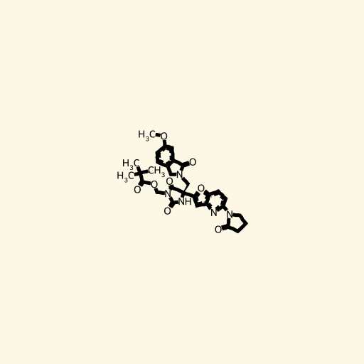 COc1ccc2c(c1)C(=O)N(C[C@@]1(c3cc4nc(N5CCCC5=O)ccc4o3)NC(=O)N(COC(=O)C(C)(C)C)C1=O)C2